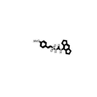 COc1ccc(/C=C/S(=O)(=O)NC(=O)Nc2c3c(cc4c2CCC4)CCC3)cc1